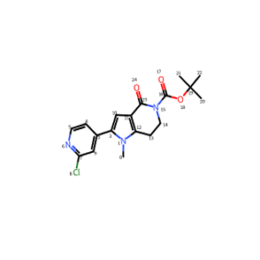 Cn1c(-c2ccnc(Cl)c2)cc2c1CCN(C(=O)OC(C)(C)C)C2=O